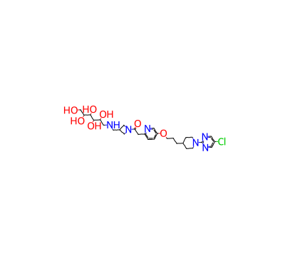 O=C(Cc1ccc(OCCCC2CCN(c3ncc(Cl)cn3)CC2)cn1)N1CC(CNCC(O)C(O)C(O)C(O)CO)C1